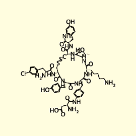 C[C@@H](O)[C@@H]1NC(=O)[C@H](CCCCCN)NC(=O)[C@@H](Cc2ccc(NC(=O)[C@@H](N)CC(=O)O)cc2)NC(=O)[C@H](Cc2ccc(O)cc2)NC(=O)[C@H](NC(=O)[C@@H](N)Cc2ccc(Cl)cc2)CSSC[C@@H](C(=O)N[C@H](Cc2ccc(O)cc2)C(N)=O)NC1=O